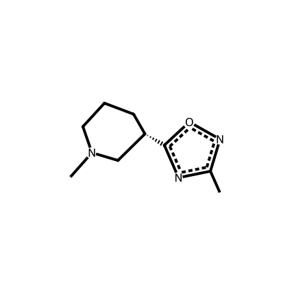 Cc1noc([C@H]2CCCN(C)C2)n1